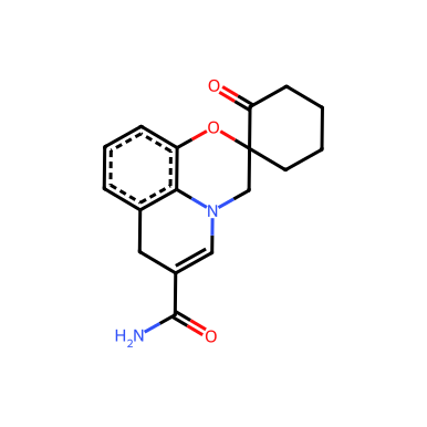 NC(=O)C1=CN2CC3(CCCCC3=O)Oc3cccc(c32)C1